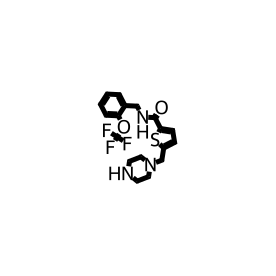 O=C(NCc1ccccc1OC(F)(F)F)c1ccc(CN2CCNCC2)s1